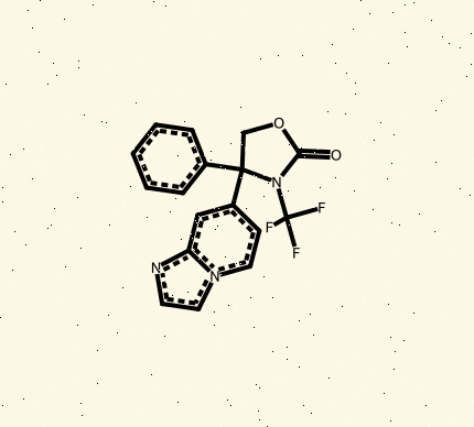 O=C1OCC(c2ccccc2)(c2ccn3ccnc3c2)N1C(F)(F)F